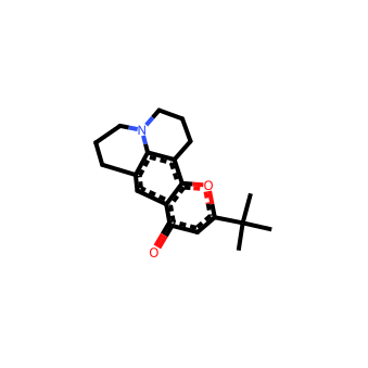 CC(C)(C)c1cc(=O)c2cc3c4c(c2o1)CCCN4CCC3